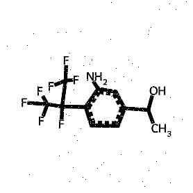 CC(O)c1ccc(C(F)(C(F)(F)F)C(F)(F)F)c(N)c1